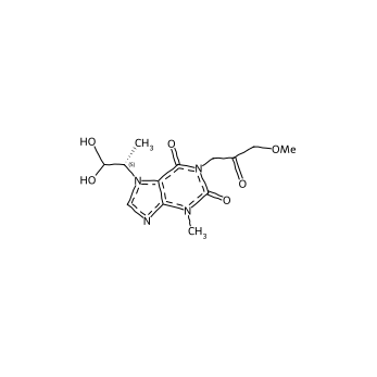 COCC(=O)Cn1c(=O)c2c(ncn2[C@@H](C)C(O)O)n(C)c1=O